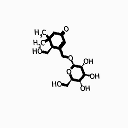 CC1(C)CC(=O)C=C(CO[C@@H]2O[C@H](CO)[C@@H](O)[C@H](O)[C@H]2O)[C@H]1CO